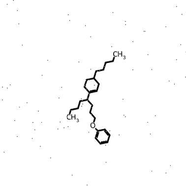 CCCCCC1CC=C(C(CCCC)CCCOc2ccccc2)CC1